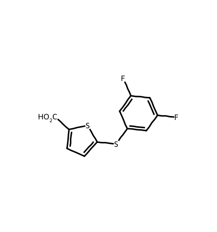 O=C(O)c1ccc(Sc2cc(F)cc(F)c2)s1